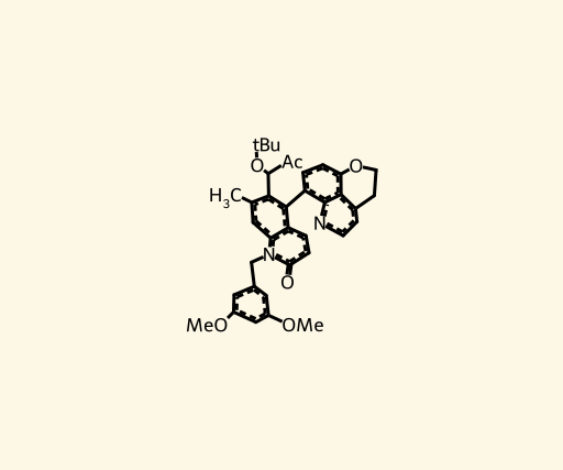 COc1cc(Cn2c(=O)ccc3c(-c4ccc5c6c(ccnc46)CCO5)c(C(OC(C)(C)C)C(C)=O)c(C)cc32)cc(OC)c1